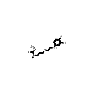 CN(CCCOCCNc1ccc(F)c(Cl)c1)C(=O)OC(C)(C)C